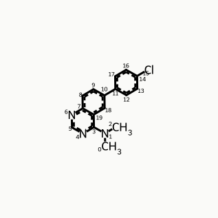 CN(C)c1ncnc2ccc(-c3ccc(Cl)cc3)cc12